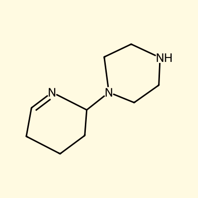 C1=NC(N2CCNCC2)CCC1